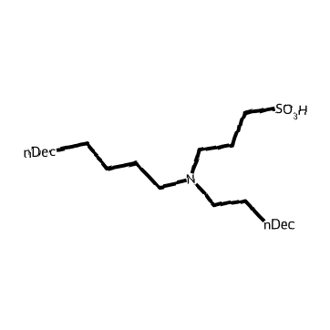 CCCCCCCCCCCCCCN(CCCCCCCCCCCC)CCCS(=O)(=O)O